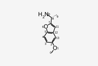 COc1ccc2oc([C@@H](C)N)cc2c1